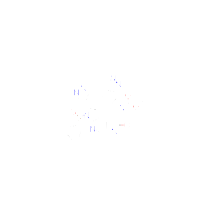 CN1C(=O)C2(CCN(C(=O)OC(C)(C)C)C2)c2c1cnc1c2c(-c2ccc3c(cnn3C)c2)c(-c2cnn(C)c2)n1[S+]([O-])c1ccccc1